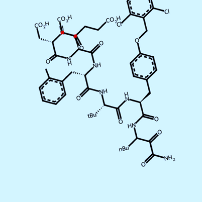 CCCCC(NC(=O)[C@H](Cc1ccc(OCc2c(Cl)cccc2Cl)cc1)NC(=O)[C@@H](NC(=O)[C@H](Cc1ccccc1C)NC(=O)[C@H](CCC(=O)O)NC(=O)[C@H](CC(=O)O)NC(=O)CCC(=O)O)C(C)(C)C)C(=O)C(N)=O